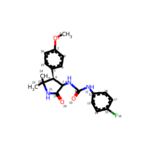 COc1ccc([C@H]2C(NC(=O)Nc3ccc(F)cc3)C(=O)NC2(C)C)cc1